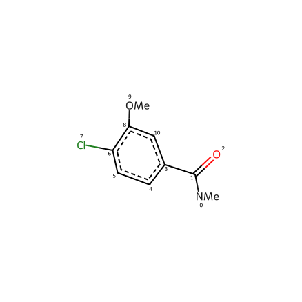 CNC(=O)c1ccc(Cl)c(OC)c1